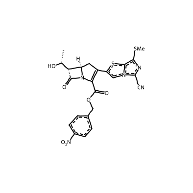 CSc1nc(C#N)n2cc(C3=C(C(=O)OCc4ccc([N+](=O)[O-])cc4)N4C(=O)[C@H]([C@@H](C)O)[C@H]4C3)sc12